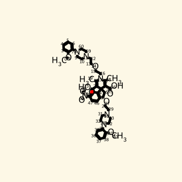 COc1ccccc1N1CCN(CCOCCN2C(C)=C(C(=O)O)C(CCOCCN3CCN(c4ccccc4OC)CC3)(c3cccc([N+](=O)[O-])c3)C(C(=O)O)=C2C)CC1